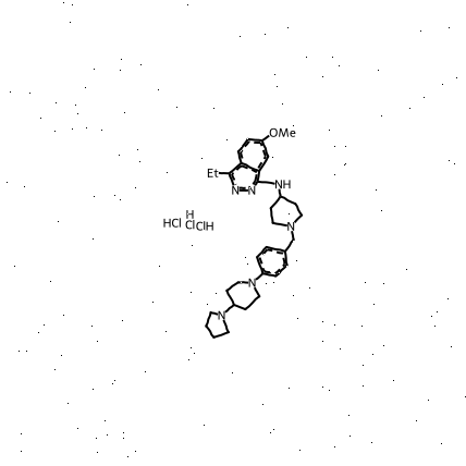 CCc1nnc(NC2CCN(Cc3ccc(N4CCC(N5CCCC5)CC4)cc3)CC2)c2cc(OC)ccc12.Cl.Cl.Cl